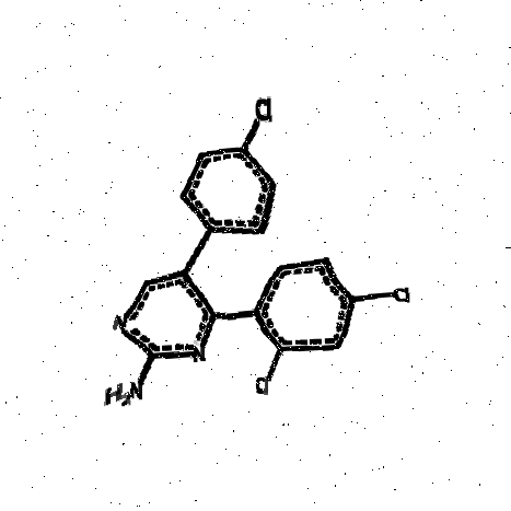 Nc1ncc(-c2ccc(Cl)cc2)c(-c2ccc(Cl)cc2Cl)n1